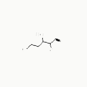 O=CC(O)C(O)CCCl